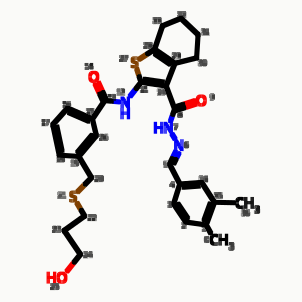 Cc1ccc(C=NNC(=O)c2c(NC(=O)c3cccc(CSCCCO)c3)sc3c2CCCC3)cc1C